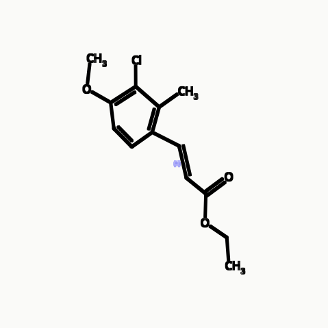 CCOC(=O)/C=C/c1ccc(OC)c(Cl)c1C